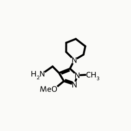 COc1nn(C)c(N2CCCCC2)c1CN